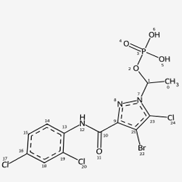 CC(OP(=O)(O)O)n1nc(C(=O)Nc2ccc(Cl)cc2Cl)c(Br)c1Cl